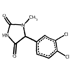 CN1C(=O)NC(=O)C1c1ccc(Cl)c(Cl)c1